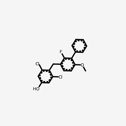 COc1ccc(Cc2c(Cl)cc(O)cc2Cl)c(F)c1-c1ccccc1